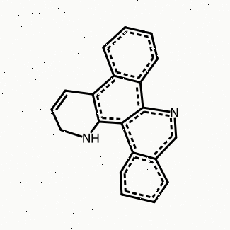 C1=Cc2c(c3c4ccccc4cnc3c3ccccc23)NC1